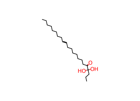 CCCCCCCCC=CCCCCCCCC(=O)C(O)(O)CCC